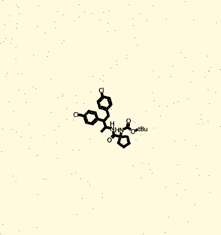 CC(NC(=O)C1(NC(=O)OC(C)(C)C)CCCC1)C(Cc1ccc(Cl)cc1)c1ccc(Cl)cc1